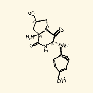 N[C@@]12C[C@@H](O)CN1C(=O)[C@H](Nc1ccc(O)cc1)NC2=O